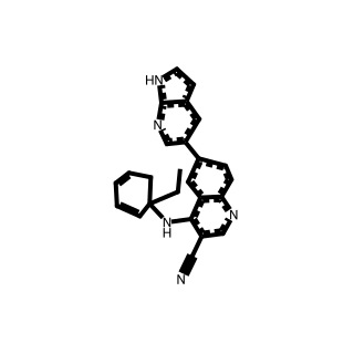 CCC1(Nc2c(C#N)cnc3ccc(-c4cnc5[nH]ccc5c4)cc23)C=CC=CC1